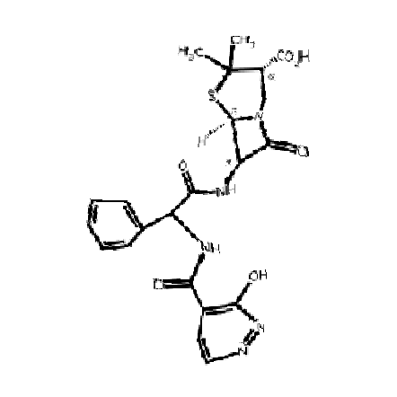 CC1(C)S[C@@H]2[C@H](NC(=O)C(NC(=O)c3ccnnc3O)c3ccccc3)C(=O)N2[C@H]1C(=O)O